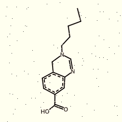 CCCCCN1C=Nc2cc(C(=O)O)ccc2C1